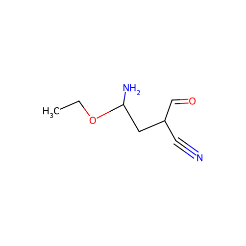 CCOC(N)CC(C#N)C=O